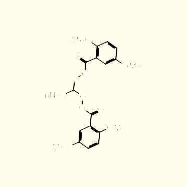 [CH2]CCCCCCCC[C](OOC(=O)c1cc(OC)ccc1OC)OOC(=O)c1cc(OC)ccc1OC